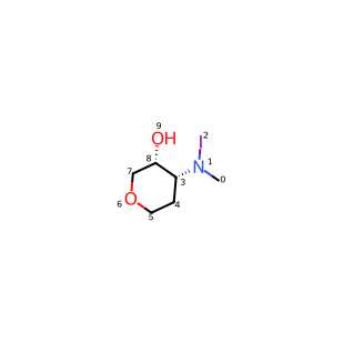 CN(I)[C@@H]1CCOC[C@@H]1O